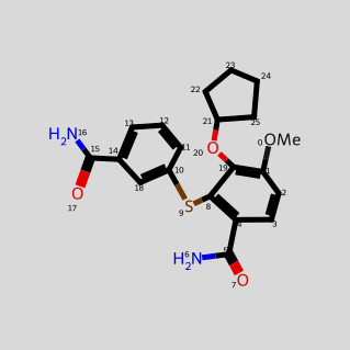 COc1ccc(C(N)=O)c(Sc2cccc(C(N)=O)c2)c1OC1CCCC1